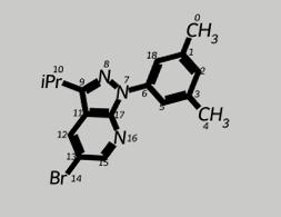 Cc1cc(C)cc(-n2nc(C(C)C)c3cc(Br)cnc32)c1